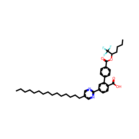 CCCCCCCCCCCCCCCc1cnc(-c2ccc(C(=O)O)c(-c3ccc(C(=O)OC(CCCC)C(F)(F)F)cc3)c2)nc1